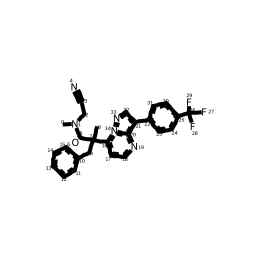 CN(CC#N)C(=O)C(C)(Cc1ccccc1)c1ccnc2c(-c3ccc(C(F)(F)F)cc3)cnn12